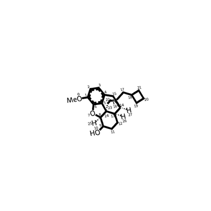 COc1ccc2c3c1O[C@@H]1C(O)CC[C@@H]4[C@H](C2)N(CC2CCC2)CC[C@@]314